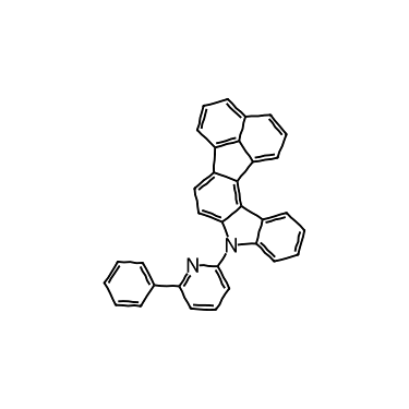 c1ccc(-c2cccc(-n3c4ccccc4c4c5c(ccc43)-c3cccc4cccc-5c34)n2)cc1